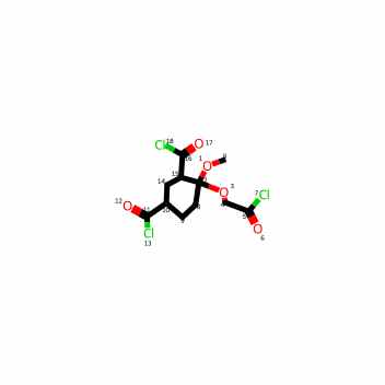 COC1(OCC(=O)Cl)CCC(C(=O)Cl)CC1C(=O)Cl